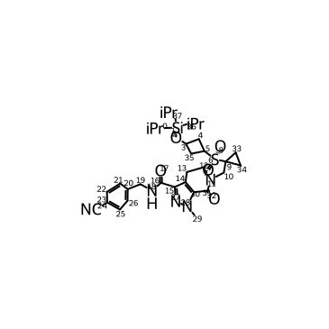 CC(C)[Si](OC1CC(S(=O)(=O)C2(CN3CCc4c(C(=O)NCc5ccc(C#N)cc5)nn(C)c4C3=O)CC2)C1)(C(C)C)C(C)C